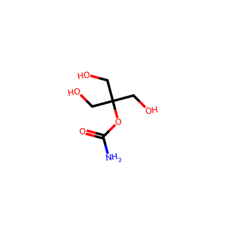 NC(=O)OC(CO)(CO)CO